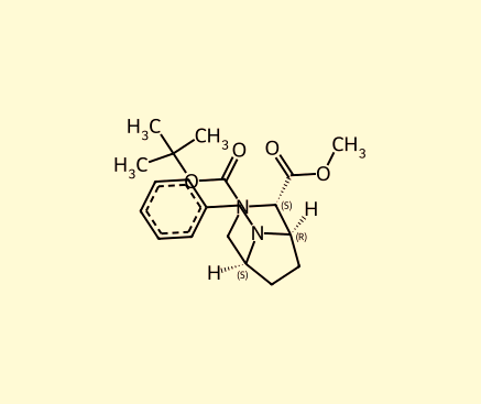 COC(=O)[C@@H]1[C@H]2CC[C@@H](CN1C(=O)OC(C)(C)C)N2Cc1ccccc1